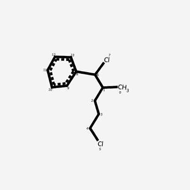 CC(CCCCl)C(Cl)c1ccccc1